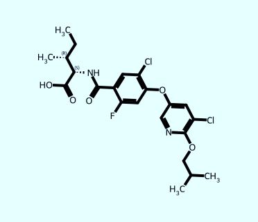 CC[C@@H](C)[C@H](NC(=O)c1cc(Cl)c(Oc2cnc(OCC(C)C)c(Cl)c2)cc1F)C(=O)O